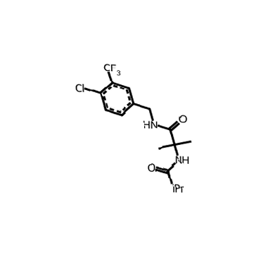 CC(C)C(=O)NC(C)(C)C(=O)NCc1ccc(Cl)c(C(F)(F)F)c1